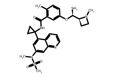 Cc1ccc(O[C@@H]([SiH3])[C@@H]2CCN2C)cc1C(=O)NC1(c2cc(N(C)S(C)(=O)=O)cc3ncccc23)CC1